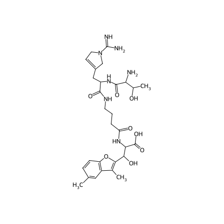 Cc1ccc2oc(C(O)C(NC(=O)CCCNC(=O)C(CC3=CCN(C(=N)N)C3)NC(=O)C(N)C(C)O)C(=O)O)c(C)c2c1